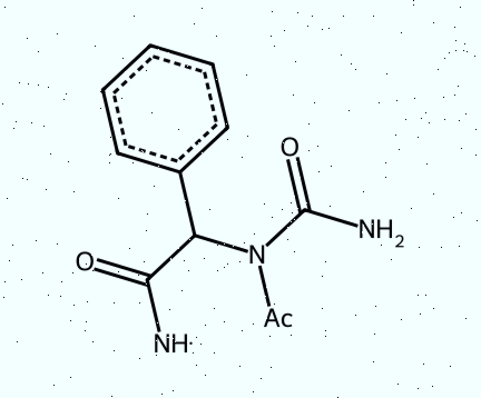 CC(=O)N(C(N)=O)C(C([NH])=O)c1ccccc1